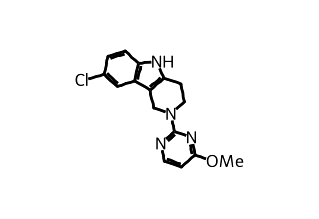 COc1ccnc(N2CCc3[nH]c4ccc(Cl)cc4c3C2)n1